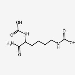 NC(=O)C(CCCCNC(=O)O)NC(=O)O